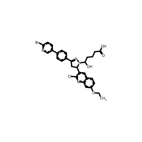 CCOc1ccc2cc(C3CC(c4ccc(-c5ccc(Br)nc5)cc4)=NN3C(O)CCCC(=O)O)c(Cl)nc2c1